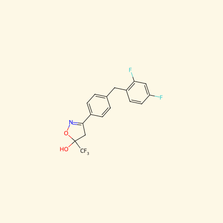 OC1(C(F)(F)F)CC(c2ccc(Cc3ccc(F)cc3F)cc2)=NO1